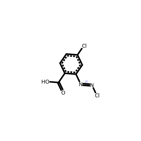 O=C(O)c1ccc(Cl)cc1/N=N/Cl